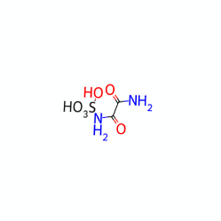 NC(=O)C(N)=O.O=S(=O)(O)O